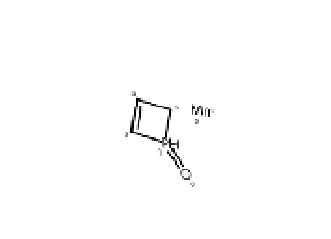 O=[PH]1C=CC1.[Mn]